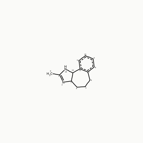 CC1=NC2CCCc3ccccc3C2N1